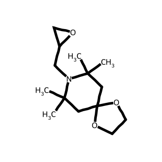 CC1(C)CC2(CC(C)(C)N1CC1CO1)OCCO2